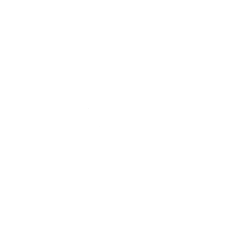 O=P(c1ccc2ccccc2c1)(c1ccc2ccccc2c1)c1ccc2sc3ccc(-c4ccccc4)cc3c2c1